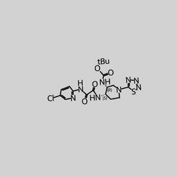 CC(C)(C)OC(=O)N[C@@H]1CN(c2nnns2)CC[C@@H]1NC(=O)C(=O)Nc1ccc(Cl)cn1